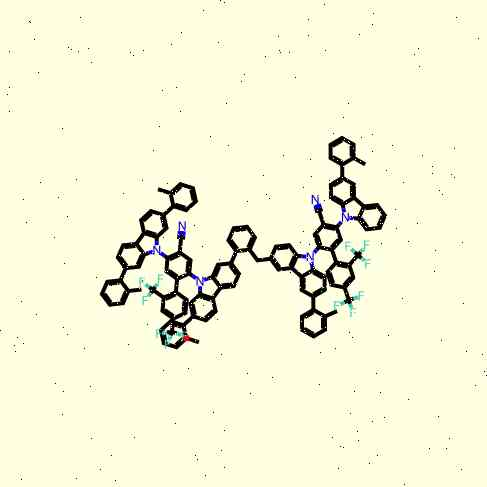 Cc1ccccc1-c1ccc2c(c1)c1ccccc1n2-c1cc(-c2ccc(C(F)(F)F)cc2C(F)(F)F)c(-n2c3ccc(Cc4ccccc4-c4ccc5c6ccc(-c7ccccc7C)cc6n(-c6cc(C#N)c(-n7c8cc(-c9ccccc9C)ccc8c8ccc(-c9ccccc9C)cc87)cc6-c6ccc(C(F)(F)F)cc6C(F)(F)F)c5c4)cc3c3cc(-c4ccccc4C)ccc32)cc1C#N